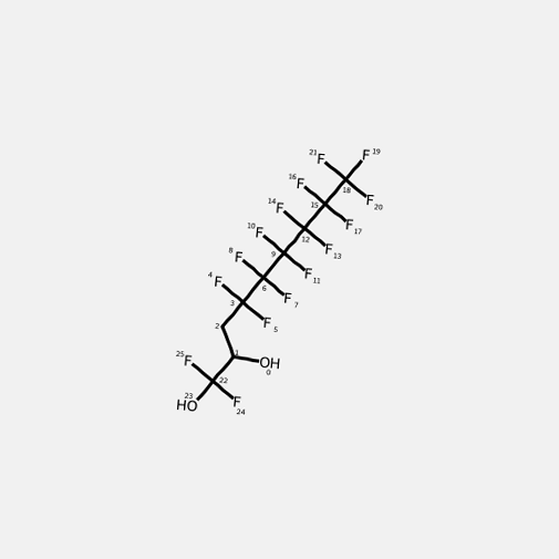 OC(CC(F)(F)C(F)(F)C(F)(F)C(F)(F)C(F)(F)C(F)(F)F)C(O)(F)F